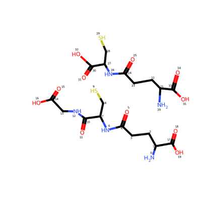 NC(CCC(=O)NC(CS)C(=O)NCC(=O)O)C(=O)O.NC(CCC(=O)NC(CS)C(=O)O)C(=O)O